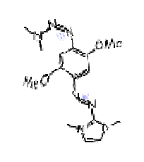 COc1cc(/N=N/c2n(C)cc[n+]2C)c(OC)cc1/N=N\N(C)C